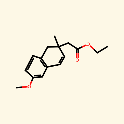 CCOC(=O)CC1(C)C=Cc2cc(OC)ccc2C1